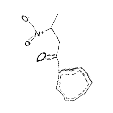 CC(CC(=O)c1ccccc1)[N+](=O)[O-]